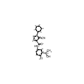 CCc1ccc(NC(=O)c2nnn(-c3ccccc3)c2C#N)cc1B(C)O